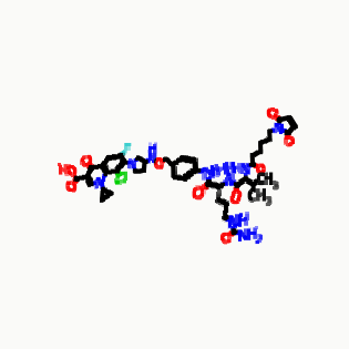 CC(C)[C@H](NC(=O)CCCCCN1C(=O)C=CC1=O)C(=O)N[C@@H](CCCNC(N)=O)C(=O)Nc1ccc(CONC2CCN(c3c(F)cc4c(=O)c(C(=O)O)cn(C5CC5)c4c3Cl)C2)cc1